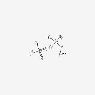 CC[P+](CC)(CC)COC.O=S(=O)([O-])C(F)(F)F